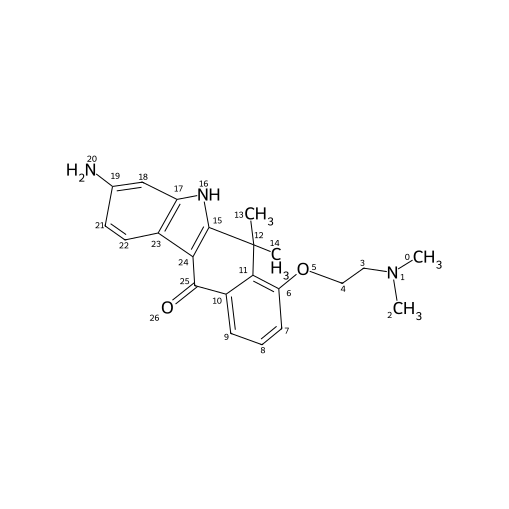 CN(C)CCOc1cccc2c1C(C)(C)c1[nH]c3cc(N)ccc3c1C2=O